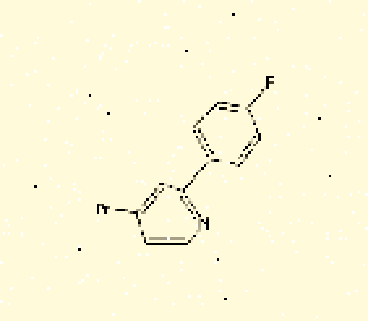 CC(C)c1[c]c(-c2ccc(F)cc2)ncc1